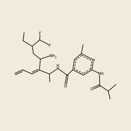 C=C/C=C(\C(N)CC(CC)C(F)F)C(C)NC(=O)c1cc(C)nc(NC(=O)C(C)C)c1